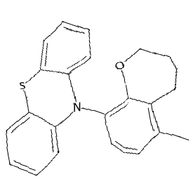 Cc1ccc(N2c3ccccc3Sc3ccccc32)c2c1CCCO2